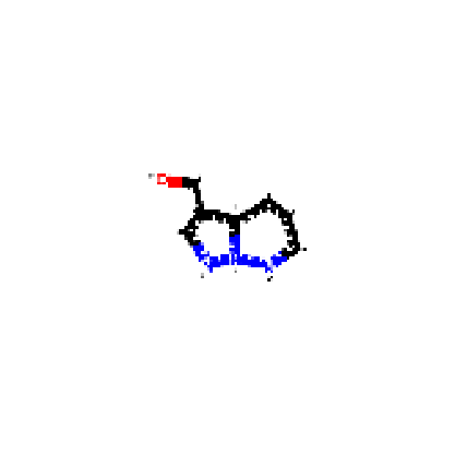 O=Cc1cnn2ncccc12